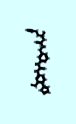 COc1cc(NC(=O)Nc2cccc(CNC(=O)O[C@H](C)CCC#N)c2)ccc1-c1cnco1